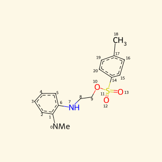 CNc1ccccc1NCCOS(=O)(=O)c1ccc(C)cc1